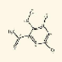 COc1c(Cl)cc(Cl)cc1C(C)=O